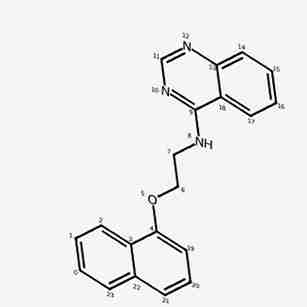 c1ccc2c(OCCNc3ncnc4ccccc34)cccc2c1